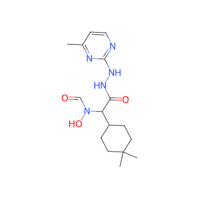 Cc1ccnc(NNC(=O)C(C2CCC(C)(C)CC2)N(O)C=O)n1